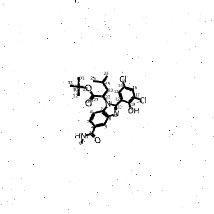 CNC(=O)c1ccc2c(c1)nc(-c1cc(Cl)cc(Cl)c1O)n2C(CC(C)C)C(=O)OC(C)(C)C